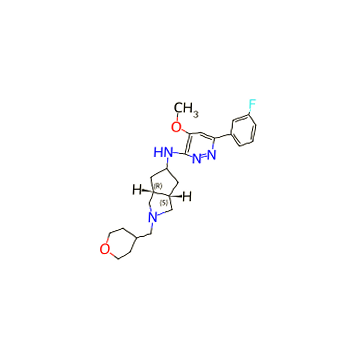 COc1cc(-c2cccc(F)c2)nnc1NC1C[C@@H]2CN(CC3CCOCC3)C[C@@H]2C1